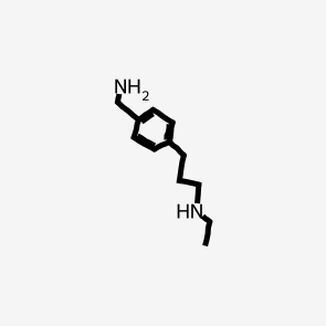 CCNCCCc1ccc(CN)cc1